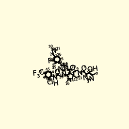 Cc1ncnc(C(=O)N2CCC3(CC2)C[C@@H](C)c2c3c(=O)n3nc(-c4ccc(CN(C)C)c(F)c4F)nc3n2CC(=O)Nc2ccc(C(F)(F)F)cc2Cl)c1O